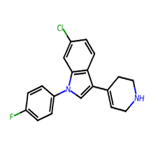 Fc1ccc(-n2cc(C3=CCNCC3)c3ccc(Cl)cc32)cc1